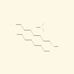 CCCCCCCC.CCCCCCCCNC.CN(C)C